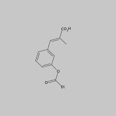 CCC(=O)Oc1cccc(C=C(C)C(=O)O)c1